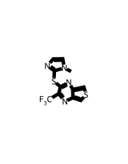 Cn1ccnc1Sc1nc2cscc2nc1C(F)(F)F